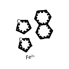 [Fe+2].c1cc[cH-]c1.c1cc[cH-]c1.c1ccc2ccccc2c1